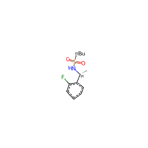 CCCCS(=O)(=O)N[C@H](C)c1ccccc1F